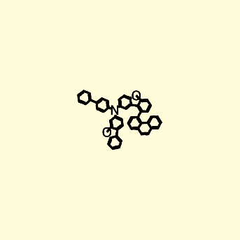 c1ccc(-c2ccc(N(c3ccc4c(c3)oc3ccccc34)c3ccc4oc5cccc(-c6cccc7ccc8ccccc8c67)c5c4c3)cc2)cc1